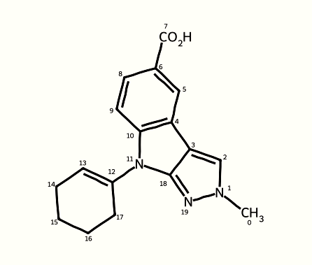 Cn1cc2c3cc(C(=O)O)ccc3n(C3=CCCCC3)c2n1